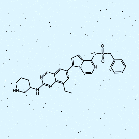 CCc1cc(-c2ccc3c(NS(=O)(=O)Cc4ccccc4)ncnn23)cc2cnc(NC3CCCNC3)nc12